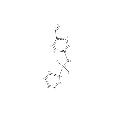 C=Cc1ccc(O[Si](C)(C)c2ccccc2)cc1